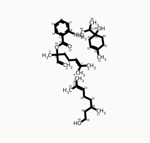 C=CC(C)(CCC=C(C)C)OC(=O)c1ccccc1N.CC(C)=CCCC(C)CCO.CC1=CCC(O)(C(C)C)CC1